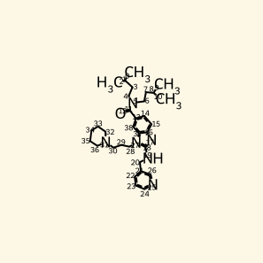 CC(C)CCN(CCC(C)C)C(=O)c1ccc2nc(NCc3cccnc3)n(CCCN3CCCCC3)c2c1